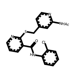 CC(=O)Nc1cc(CSc2ncccc2C(=O)Nc2ccccc2Cl)ccn1